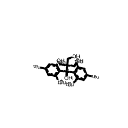 CC(C)(C)c1cc(C(C)(C)C)c(C(O)(c2c(C(C)(C)C)cc(C(C)(C)C)cc2C(C)(C)C)C(CO)(CO)CO)c(C(C)(C)C)c1